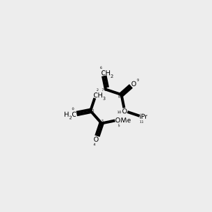 C=C(C)C(=O)OC.C=CC(=O)OC(C)C